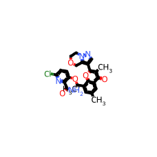 Cc1cc([C@@H](C)Oc2ccc(Cl)nc2C(N)=O)c2oc(-c3cnn4c3COCC4)c(C)c(=O)c2c1